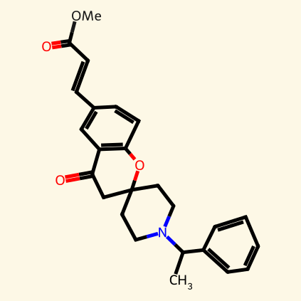 COC(=O)/C=C/c1ccc2c(c1)C(=O)CC1(CCN(C(C)c3ccccc3)CC1)O2